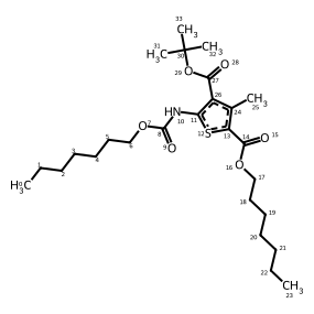 CCCCCCCOC(=O)Nc1sc(C(=O)OCCCCCCC)c(C)c1C(=O)OC(C)(C)C